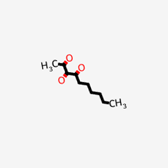 CCCCCCC(=O)C(=O)C(C)=O